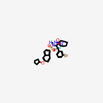 CN([C@@H](C(=O)N1C2CCC1CC(N)C2)C(F)(F)c1cccc(Br)c1)S(=O)(=O)c1ccc2cc(OC3CCCC3)ccc2c1